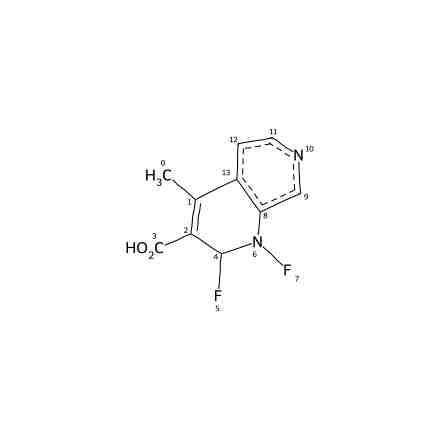 CC1=C(C(=O)O)C(F)N(F)c2cnccc21